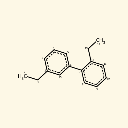 CCc1[c]ccc(-c2ccccc2CC)c1